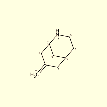 C=C1CC2CCNC(C1)C2